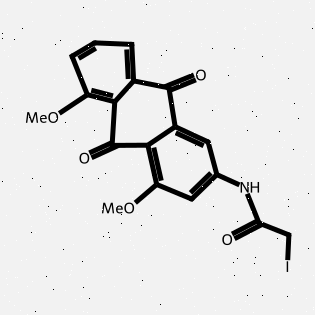 COc1cccc2c1C(=O)c1c(OC)cc(NC(=O)CI)cc1C2=O